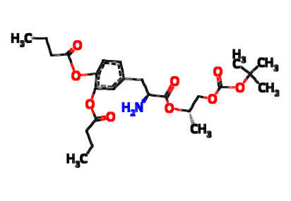 CCCC(=O)Oc1ccc(C[C@H](N)C(=O)O[C@@H](C)COC(=O)OC(C)(C)C)cc1OC(=O)CCC